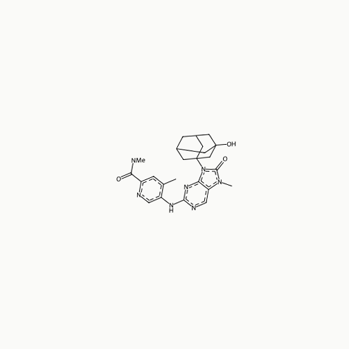 CNC(=O)c1cc(C)c(Nc2ncc3c(n2)n(C24CC5CC(CC(O)(C5)C2)C4)c(=O)n3C)cn1